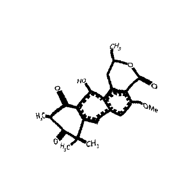 COc1cc2cc3c(c(O)c2c2c1C(=O)OC(C)C2)C(=O)C(C)C(=O)C3(C)C